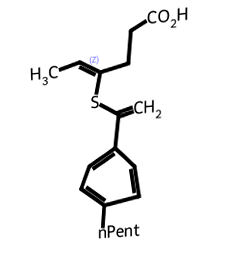 C=C(S/C(=C\C)CCC(=O)O)c1ccc(CCCCC)cc1